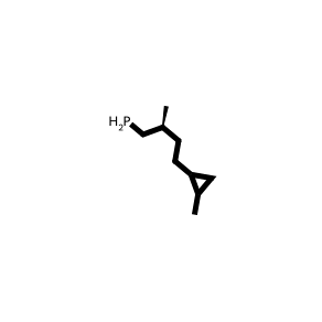 CC1CC1CC[C@H](C)CP